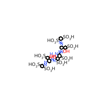 Nc1c(N=Nc2ccc(N=Nc3cc(S(=O)(=O)O)ccc3S(=O)(=O)O)c3cc(S(=O)(=O)O)cc(O)c23)cc(S(=O)(=O)O)c2cc(S(=O)(=O)O)c(N=Nc3ccc(N=Nc4cc(S(=O)(=O)O)ccc4S(=O)(=O)O)c4cc(S(=O)(=O)O)cc(O)c34)c(O)c12